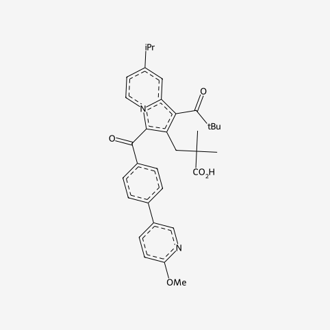 COc1ccc(-c2ccc(C(=O)c3c(CC(C)(C)C(=O)O)c(C(=O)C(C)(C)C)c4cc(C(C)C)ccn34)cc2)cn1